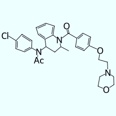 CC(=O)N(c1ccc(Cl)cc1)C1CC(C)N(C(=O)c2ccc(OCCN3CCOCC3)cc2)c2ccccc21